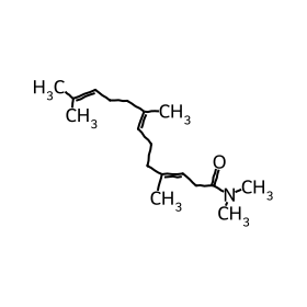 CC(C)=CCCC(C)=CCCC(C)=CCC(=O)N(C)C